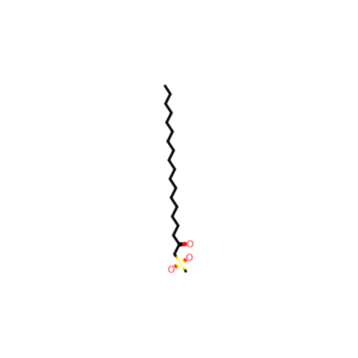 CCCCCCCCCCCCCCCCCC(=O)CS(C)(=O)=O